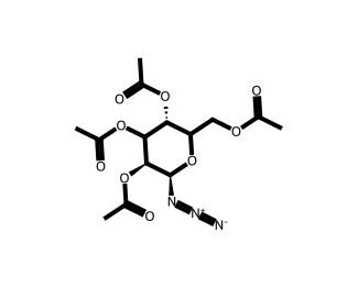 CC(=O)OCC1O[C@@H](N=[N+]=[N-])[C@@H](OC(C)=O)C(OC(C)=O)[C@@H]1OC(C)=O